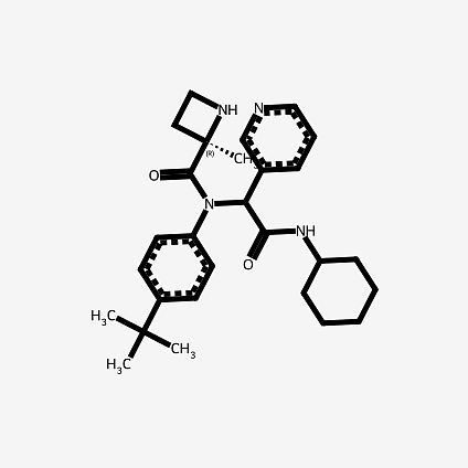 CC(C)(C)c1ccc(N(C(=O)[C@@]2(C)CCN2)C(C(=O)NC2CCCCC2)c2cccnc2)cc1